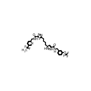 CC(F)(F)c1ccc(CNC(=O)c2nnc(CCCCN3C=C(C(=O)NCc4cccc(OC(F)(F)F)c4)NN3)s2)nc1